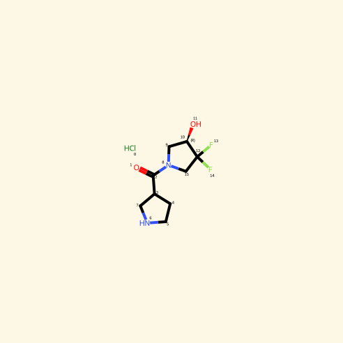 Cl.O=C(C1CCNC1)N1C[C@@H](O)C(F)(F)C1